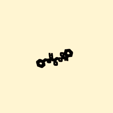 O=C(COc1nc2ccccc2o1)NOCc1ccccc1